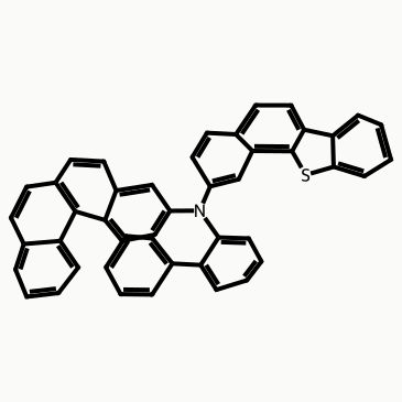 c1ccc(-c2ccccc2N(c2ccc3c(ccc4ccc5ccccc5c43)c2)c2ccc3ccc4c5ccccc5sc4c3c2)cc1